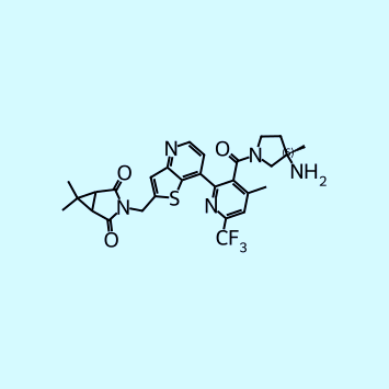 Cc1cc(C(F)(F)F)nc(-c2ccnc3cc(CN4C(=O)C5C(C4=O)C5(C)C)sc23)c1C(=O)N1CC[C@](C)(N)C1